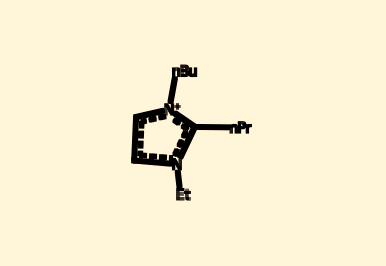 CCCC[n+]1ccn(CC)c1CCC